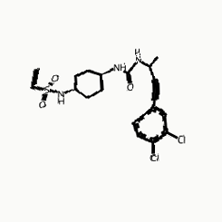 C=CS(=O)(=O)N[C@H]1CC[C@@H](NC(=O)NC(C)C#Cc2ccc(Cl)c(Cl)c2)CC1